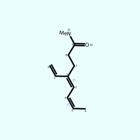 C=C/C(=C\C=C/C)CCC(=O)NC